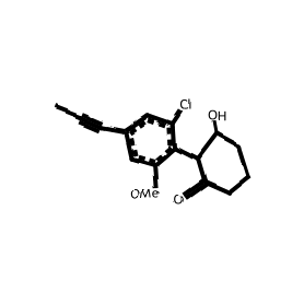 CC#Cc1cc(Cl)c(C2C(=O)CCCC2O)c(OC)c1